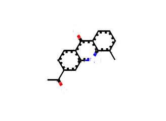 CC(=O)c1ccc2c(=O)c3cccc(C)c3[nH]c2c1